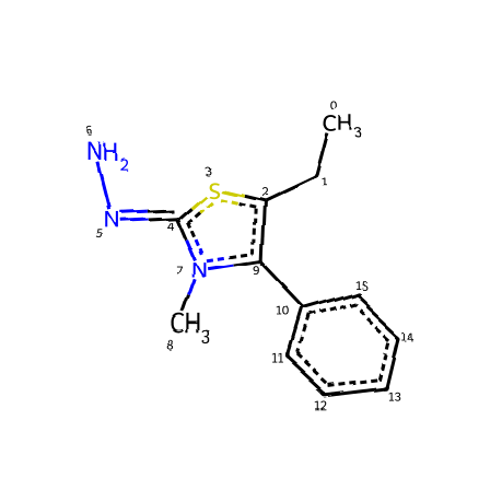 CCc1sc(=NN)n(C)c1-c1ccccc1